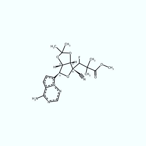 COC(=O)C(C)(C)C(F)[C@]1(C#N)O[C@@H](c2ccc3c(N)ncnn23)[C@@H]2OC(C)(C)O[C@@H]21